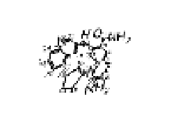 NC(=O)c1cc(F)c(N(C(N)=O)C2CCCC2)nc1Nc1cnc2ccccc2c1